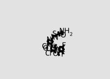 CC1=CC(OC(C)c2ncc(F)cc2F)=C(Cl)C(=C=O)N1c1cc(-c2csc(C(C)(C)C(N)=O)n2)ncc1Cl